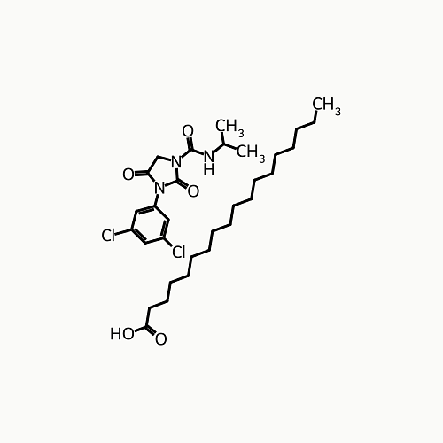 CC(C)NC(=O)N1CC(=O)N(c2cc(Cl)cc(Cl)c2)C1=O.CCCCCCCCCCCCCCCCCC(=O)O